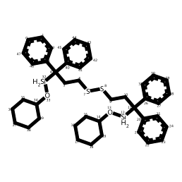 c1ccc(C(CCSSCCC([SiH2]OC2CCCCC2)(c2ccccc2)c2ccccc2)([SiH2]OC2CCCCC2)c2ccccc2)cc1